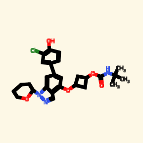 CC(C)(C)NC(=O)OC1CC(Oc2cc(-c3ccc(O)c(Cl)c3)cc3c2cnn3C2CCCCO2)C1